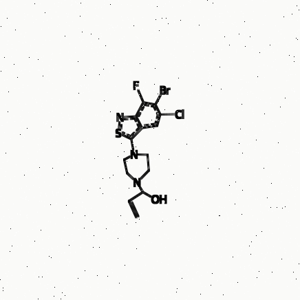 C=CC(O)N1CCN(c2snc3c(F)c(Br)c(Cl)cc23)CC1